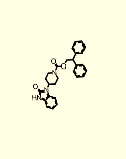 O=C(OCC(c1ccccc1)c1ccccc1)N1CCC(n2c(=O)[nH]c3ccccc32)CC1